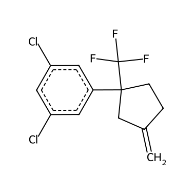 C=C1CCC(c2cc(Cl)cc(Cl)c2)(C(F)(F)F)C1